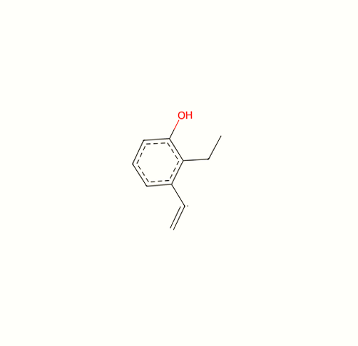 C=[C]c1cccc(O)c1CC